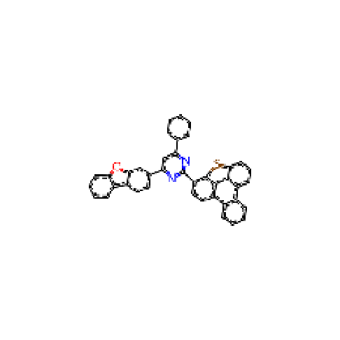 c1ccc(-c2cc(-c3ccc4c(c3)oc3ccccc34)nc(-c3ccc4c5ccccc5c5cccc6sc3c4c65)n2)cc1